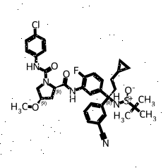 CO[C@@H]1C[C@H](C(=O)Nc2cc([C@](CCC3CC3)(N[S@+]([O-])C(C)(C)C)c3cccc(C#N)c3)ccc2F)N(C(=O)Nc2ccc(Cl)cc2)C1